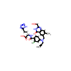 C#CCN(Cc1cc2c(=O)[nH]c(CO)nc2cc1C)c1ccc(C(=O)N[C@@H](CCc2nnn[nH]2)C(=O)O)c(F)c1